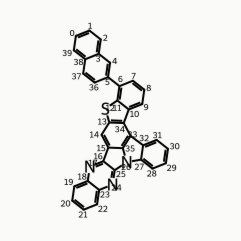 c1ccc2cc(-c3cccc4c3sc3cc5c6nc7ccccc7nc6n6c7ccccc7c(c34)c56)ccc2c1